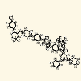 CC1(C)CCC(c2ccc(Cl)cc2)=C(CN2CCN(c3ccc(C(=O)NS(=O)(=O)c4ccc(N[C@H](CCN5CCOCC5)C[SiH2]c5ccccc5)c(S(=O)(=O)C(F)(F)F)c4)cc3)CC2)C1